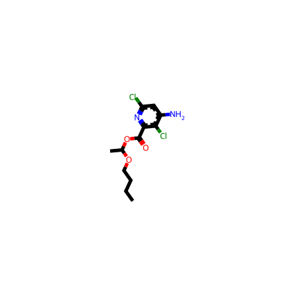 CCCCOC(C)OC(=O)c1nc(Cl)cc(N)c1Cl